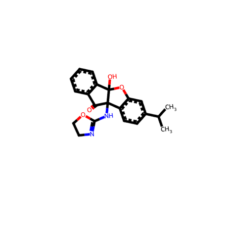 CC(C)c1ccc2c(c1)OC1(O)c3ccccc3C(=O)C21NC1=NCCO1